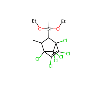 CCO[Si](C)(OCC)C1C(C)C2(Cl)C(Cl)=C(Cl)C1(Cl)C2(Cl)Cl